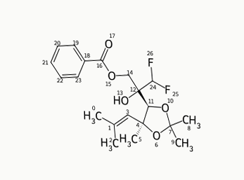 CC(C)=C[C@]1(C)OC(C)(C)O[C@@H]1C(O)(COC(=O)c1ccccc1)C(F)F